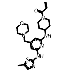 C=CC(=O)N1CCC(Nc2cc(CN3CCOCC3)cc(Nc3ncc(C)s3)n2)CC1